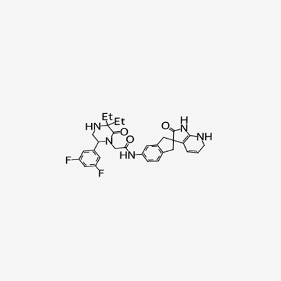 CCC1(CC)NCC(c2cc(F)cc(F)c2)N(CC(=O)Nc2ccc3c(c2)CC2(C3)C(=O)NC3=C2C=CCN3)C1=O